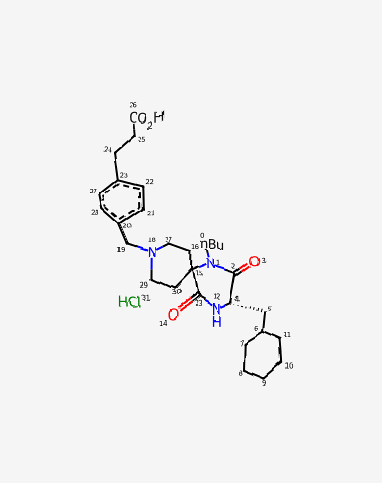 CCCCN1C(=O)[C@H](CC2CCCCC2)NC(=O)C12CCN(Cc1ccc(CCC(=O)O)cc1)CC2.Cl